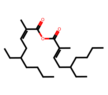 CCCCC(CC)CC=C(C)C(=O)OC(=O)C(C)=CCC(CC)CCCC